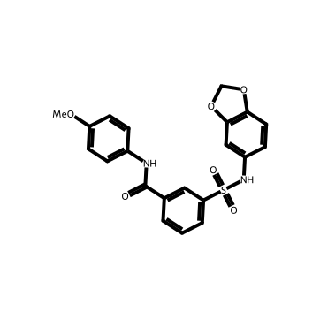 COc1ccc(NC(=O)c2cccc(S(=O)(=O)Nc3ccc4c(c3)OCO4)c2)cc1